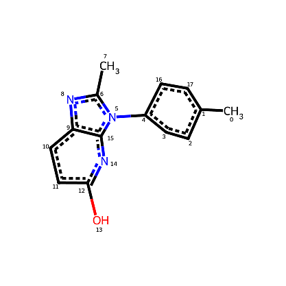 Cc1ccc(-n2c(C)nc3ccc(O)nc32)cc1